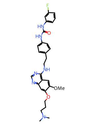 COc1cc2c(NCCc3ccc(NC(=O)Nc4cccc(F)c4)cc3)ncnc2cc1OCCCN(C)C